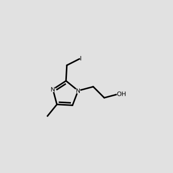 Cc1cn(CCO)c(CI)n1